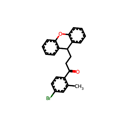 Cc1cc(Br)ccc1C(=O)CCC1c2ccccc2Oc2ccccc21